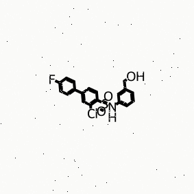 O=S(=O)(Nc1cccc(CO)c1)c1ccc(-c2ccc(F)cc2)cc1Cl